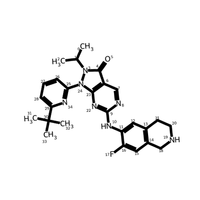 CC(C)n1c(=O)c2cnc(Nc3cc4c(cc3F)CNCC4)nc2n1-c1cccc(C(C)(C)C)n1